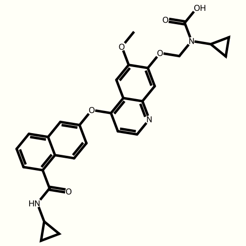 COc1cc2c(Oc3ccc4c(C(=O)NC5CC5)cccc4c3)ccnc2cc1OCN(C(=O)O)C1CC1